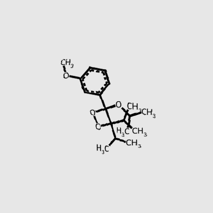 COc1cccc(C2(OC(C)C)OOC2(C(C)C)C(C)C)c1